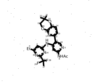 CCc1cc(Nc2cc(NC(C)=O)ncc2-c2ccc3c(n2)OCC(C)(C)O3)nc(C(C)(F)F)n1